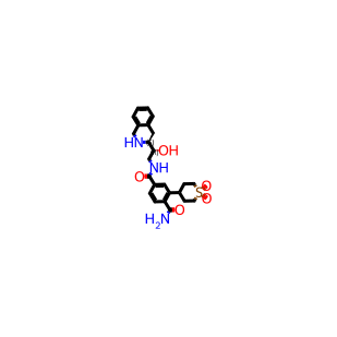 NC(=O)c1ccc(C(=O)NC[C@@H](O)[C@@H]2Cc3ccccc3CN2)cc1C1CCS(=O)(=O)CC1